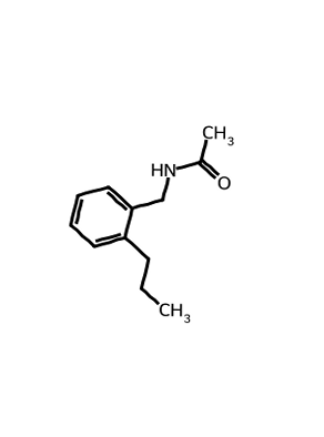 CCCc1ccccc1CNC(C)=O